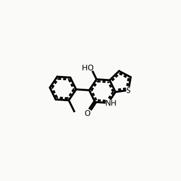 Cc1ccccc1-c1c(O)c2ccsc2[nH]c1=O